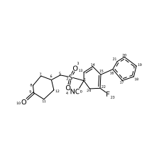 N#CC1(S(=O)(=O)CC2CCC(=O)CC2)C=CC(c2ccccc2)=C(F)C1